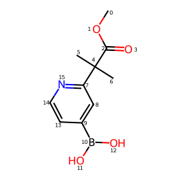 COC(=O)C(C)(C)c1cc(B(O)O)ccn1